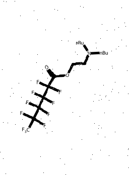 CCCCN(CCCC)CCOC(=O)C(F)(F)C(F)(F)C(F)(F)C(F)(F)C(F)(F)F